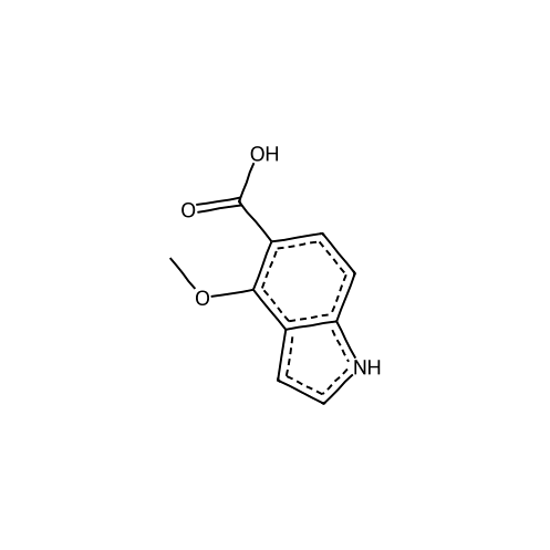 COc1c(C(=O)O)ccc2[nH]ccc12